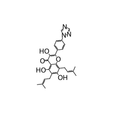 CC(C)=CCc1c(O)c(CC=C(C)C)c2oc(-c3ccc(-n4cncn4)cc3)c(O)c(=O)c2c1O